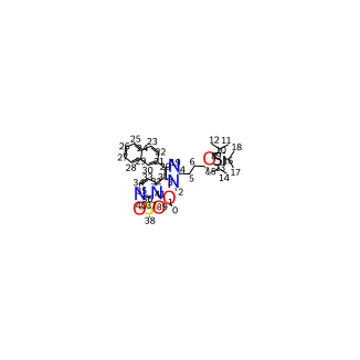 COCn1c(CCCO[Si](C(C)C)(C(C)C)C(C)C)nc(-c2ccc3ccccc3c2)c1-c1ccnc(S(C)(=O)=O)n1